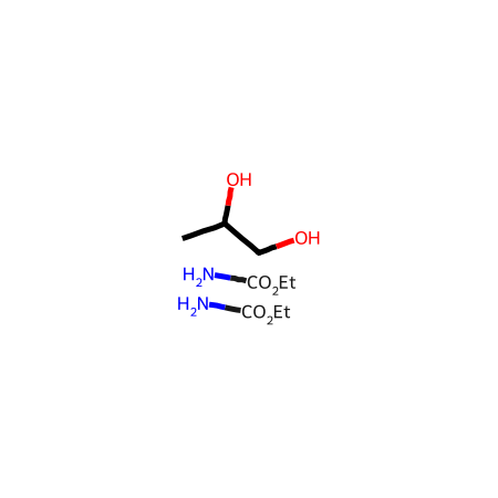 CC(O)CO.CCOC(N)=O.CCOC(N)=O